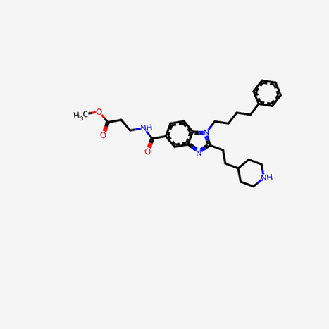 COC(=O)CCNC(=O)c1ccc2c(c1)nc(CCC1CCNCC1)n2CCCCc1ccccc1